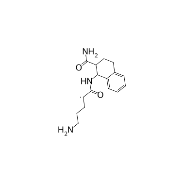 NCCC[CH]C(=O)NC1c2ccccc2CCC1C(N)=O